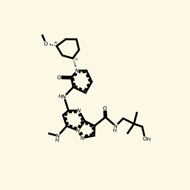 CNc1cc(Nc2cccn([C@H]3CCC[C@@H](OC)C3)c2=O)nc2c(C(=O)NCC(C)(C)CO)cnn12